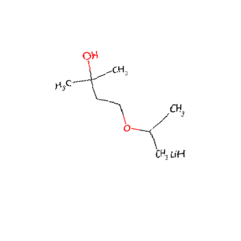 CC(C)OCCC(C)(C)O.[LiH]